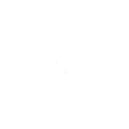 COc1ccc(CN(Cc2ccc(OC)cc2)S(=O)(=O)[C@@H](C=O)C[C@@H]2CCCO2)cc1